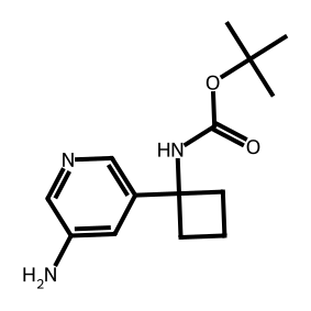 CC(C)(C)OC(=O)NC1(c2cncc(N)c2)CCC1